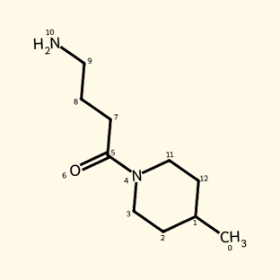 CC1CCN(C(=O)CCCN)CC1